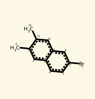 Cc1cc2ccc(Br)cc2cc1C